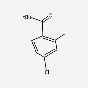 Cc1cc(Cl)ccc1C(=O)C(C)(C)C